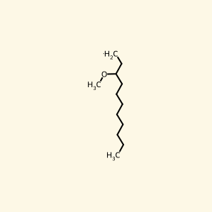 [CH2]CC(CCCCCCCC)OC